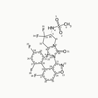 CS(=O)(=O)N[C@@H]1Cn2c(cn(-c3noc4ccc(F)c(-c5c(F)cc(F)cc5F)c34)c2=O)CC1(F)F